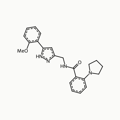 COc1ccccc1-c1cc(CNC(=O)c2ccccc2N2CCCC2)n[nH]1